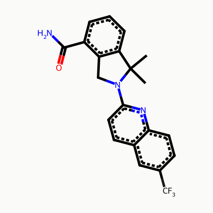 CC1(C)c2cccc(C(N)=O)c2CN1c1ccc2cc(C(F)(F)F)ccc2n1